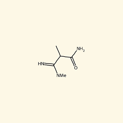 CNC(=N)C(C)C(N)=O